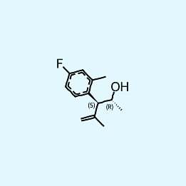 C=C(C)[C@@H](c1ccc(F)cc1C)[C@@H](C)O